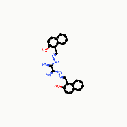 N=C(N/N=C/c1c(O)ccc2ccccc12)C(=N)N/N=C/c1c(O)ccc2ccccc12